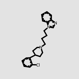 Clc1ccccc1C1CCN(CCCCn2cnc3ccccc32)CC1